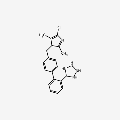 CC1=NC(Cl)=C(C)C1Cc1ccc(-c2ccccc2C2NNNN2)cc1